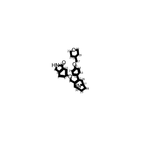 O=C1NCc2ccc(OCC3=C(c4ccc(OCC5CCOCC5)cc4)CC4CCC(C3)N4)cc21